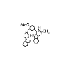 COc1ccc(C2N[C@H](C)Cc3c2[nH]c2ccccc32)cc1CN1CCN(c2ccccc2F)CC1